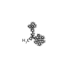 Cc1ccc(N(c2ccc(-c3ccc(N(c4ccccc4)c4cccc5ccccc45)cc3)cc2)c2ccc(-c3c(-c4ccccc4)c(-c4ccccc4)c(-c4ccccc4)c(-c4ccccc4)c3-c3ccccc3)cc2)cc1